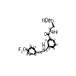 CCCCCCCCCCCCNC(=O)c1cccc(CNCc2ccc(C(F)(F)F)nc2)c1